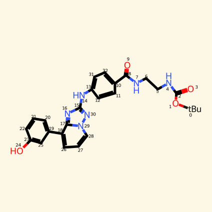 CC(C)(C)OC(=O)NCCNC(=O)c1ccc(Nc2nc3c(-c4cccc(O)c4)cccn3n2)cc1